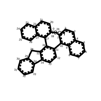 Oc1ccc2ccccc2c1-c1ccc2c(c1-c1c(O)ccc3ccccc13)Cc1ccccc1-2